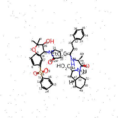 CC1(C)Oc2ccc(S(=O)(=O)c3ccccc3)cc2C(N2CCCC2=O)C1O.CCOC(=O)[C@H](CCc1ccccc1)N[C@@H](C)C(=O)N1[C@H](C(=O)O)C[C@H]2CCCC[C@@H]21